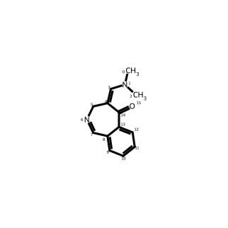 CN(C)C=C1CN=Cc2ccccc2C1=O